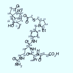 C=C[C@]1(C)C[C@@H](OC(=O)CSCC2CCC(CC)N2Cc2ccc(NC(=O)[C@H](CCCNC(N)=O)NC(=O)[C@@H](NC(=O)CCC(=O)O)C(C)C)cc2)[C@]2(C)[C@H](C)C[C@]3(CCC(=O)[C@H]32)[C@@H](C)[C@@H]1O